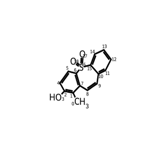 Cc1c(O)ccc2c1C=Cc1ccccc1S2(=O)=O